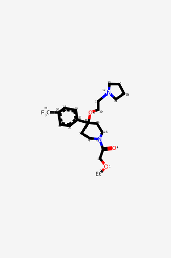 [CH2]COCC(=O)N1CCC(OCCN2CCCC2)(c2ccc(C(F)(F)F)cc2)CC1